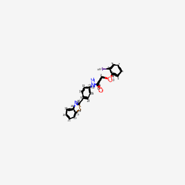 O=C(COc1ccccc1I)Nc1ccc(-c2nc3ccccc3s2)cc1